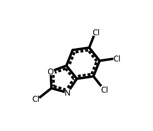 Clc1nc2c(Cl)c(Cl)c(Cl)cc2o1